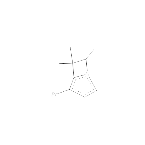 CC(C)c1ccn2c1C(C)(C)C2C